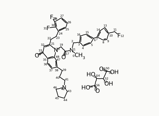 CN(Cc1ccc(-c2ccc(CF)cc2)cc1)C(=O)Cn1c(CCc2cccc(F)c2F)cc(=O)c2ccc(CCCN3CCCC3)cc21.O=C(O)C(O)C(O)C(=O)O